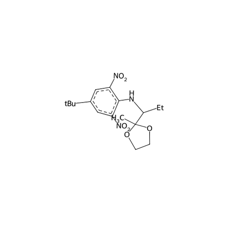 CCC(Nc1c([N+](=O)[O-])cc(C(C)(C)C)cc1[N+](=O)[O-])C1(C)OCCO1